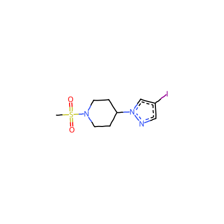 CS(=O)(=O)N1CCC(n2cc(I)cn2)CC1